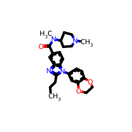 CCCc1nc2cc(C(=O)N(C)C3CCN(C)CC3)ccc2n1-c1ccc2c(c1)OCCO2